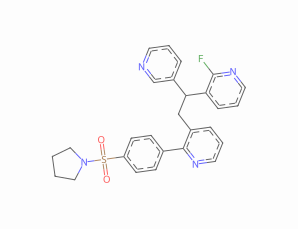 O=S(=O)(c1ccc(-c2ncccc2CC(c2cccnc2)c2cccnc2F)cc1)N1CCCC1